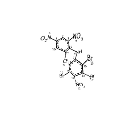 O=[N+]([O-])c1cc([N+](=O)[O-])c(Nc2cc(Br)c([N+](=O)[O-])c(Br)c2Br)c(C(F)(F)F)c1